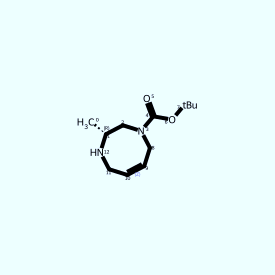 C[C@@H]1CN(C(=O)OC(C)(C)C)C/C=C\CN1